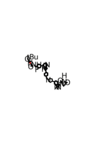 Cn1nc(N2CCC(=O)NC2=O)c2ccc(C3CCN(Cc4ccc(-c5cc6nccc(-c7ccc(CNC(=O)N8CC(OC(C)(C)C)C8)c(F)c7)n6n5)cc4)CC3)cc21